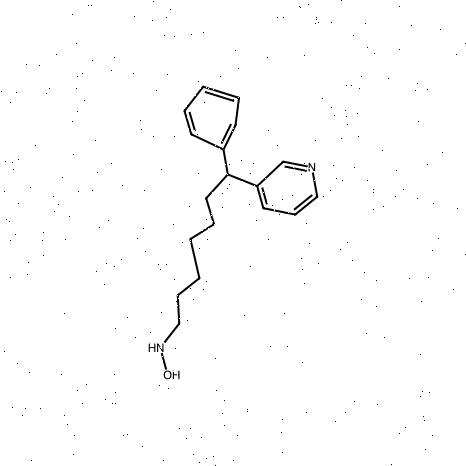 ONCCCCCCC(c1ccccc1)c1cccnc1